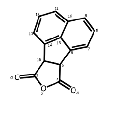 O=C1OC(=O)C2c3cccc4cccc(c34)C12